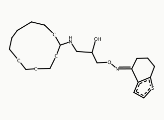 OC(CNC1CCCCCCCCCCC1)CO/N=C1\CCCc2sccc21